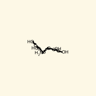 CC(C)(CCCOC(C)(N)CCCOCC(O)COCCCO)OCCCOCC(O)COCCCO